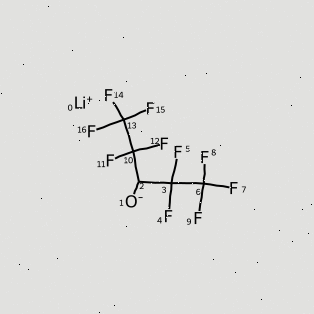 [Li+].[O-]C(C(F)(F)C(F)(F)F)C(F)(F)C(F)(F)F